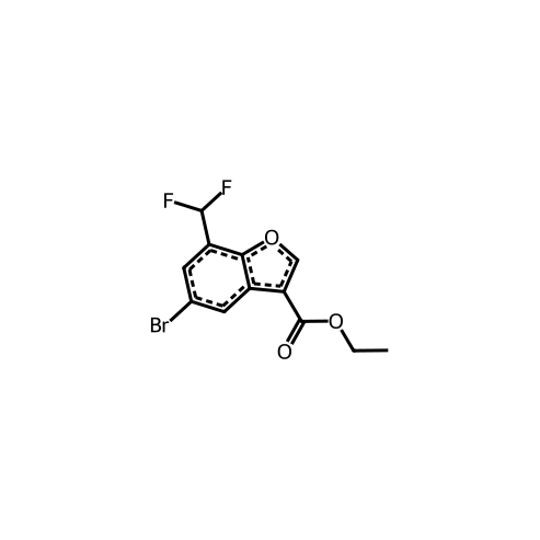 CCOC(=O)c1coc2c(C(F)F)cc(Br)cc12